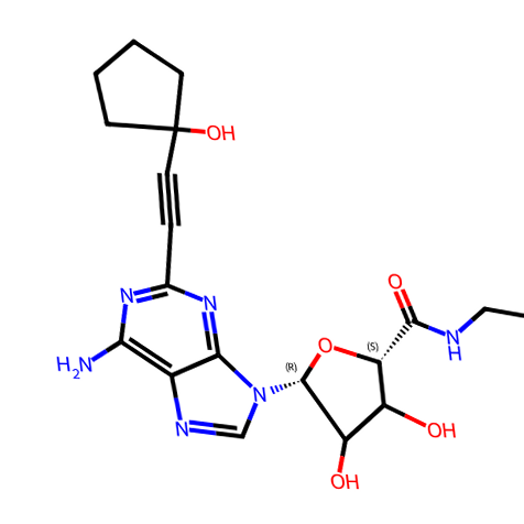 CCNC(=O)[C@H]1O[C@@H](n2cnc3c(N)nc(C#CC4(O)CCCC4)nc32)C(O)C1O